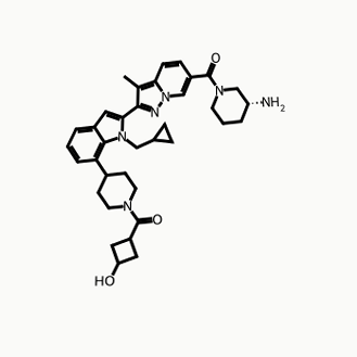 Cc1c(-c2cc3cccc(C4CCN(C(=O)C5CC(O)C5)CC4)c3n2CC2CC2)nn2cc(C(=O)N3CCC[C@@H](N)C3)ccc12